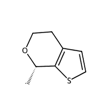 [CH2][C@@H]1OCCc2ccsc21